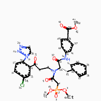 CCOP(=O)(CC(=O)N(CCC(=O)c1cc(Cl)ccc1-n1ccnn1)[C@@H](Cc1ccccc1)C(=O)Nc1ccc(C(=O)OC(C)(C)C)cc1)OCC